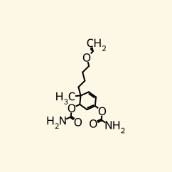 C=COCCCCC1(C)C=CC(OC(N)=O)=CC1OC(N)=O